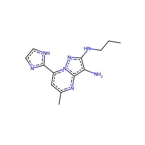 CCCNc1nn2c(-c3ncc[nH]3)cc(C)nc2c1N